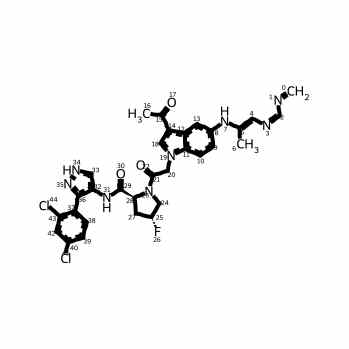 C=N/C=N\C=C(/C)Nc1ccc2c(c1)c(C(C)=O)cn2CC(=O)N1C[C@H](F)C[C@H]1C(=O)Nc1c[nH]nc1-c1ccc(Cl)cc1Cl